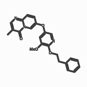 COc1cc(Oc2ccc3ncc(C)c(=O)n3c2)cnc1OCCc1ccccc1